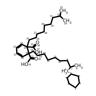 C1CCCCC1.CC(C)CCCCCCCC1(C(=O)O)C=CC=CC1(CCCCCCCC(C)C)C(=O)O